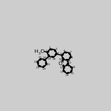 Cc1ccc(-c2cccc3c2oc2ccccc23)cc1-c1ccccc1